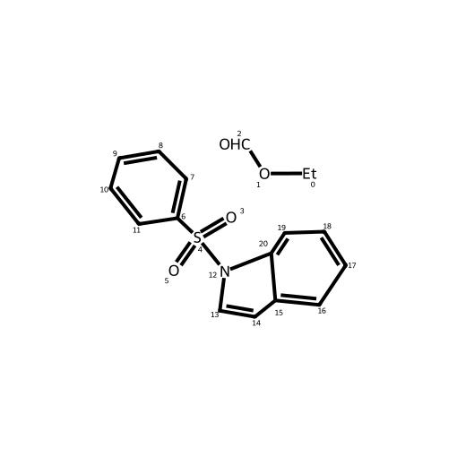 CCOC=O.O=S(=O)(c1ccccc1)n1ccc2ccccc21